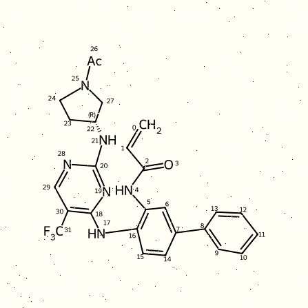 C=CC(=O)Nc1cc(-c2ccccc2)ccc1Nc1nc(N[C@@H]2CCN(C(C)=O)C2)ncc1C(F)(F)F